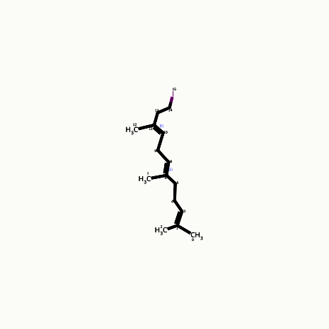 CC(C)=CCC/C(C)=C/C/C=C(\C)CCI